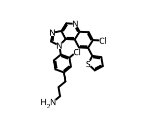 NCCCc1ccc(-n2cnc3cnc4cc(Cl)c(-c5cccs5)cc4c32)c(Cl)c1